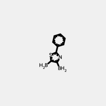 Bc1nc(-c2ccccc2)sc1B